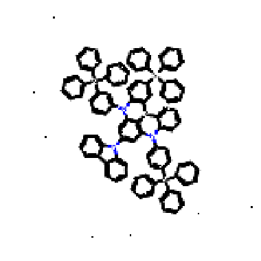 c1ccc([Si](c2ccccc2)(c2ccccc2)c2ccc(N3c4ccccc4B4c5cc([Si](c6ccccc6)(c6ccccc6)c6ccccc6)ccc5N(c5cccc([Si](c6ccccc6)(c6ccccc6)c6ccccc6)c5)c5cc(-n6c7ccccc7c7ccccc76)cc3c54)cc2)cc1